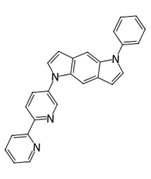 c1ccc(-n2ccc3cc4c(ccn4-c4ccc(-c5ccccn5)nc4)cc32)cc1